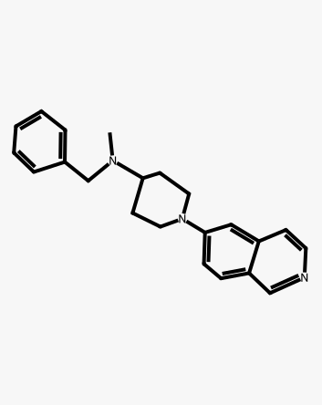 CN(Cc1ccccc1)C1CCN(c2ccc3cnccc3c2)CC1